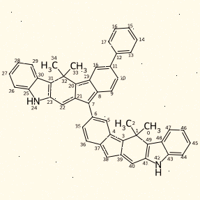 CC1(C)C2=c3cc(C4=c5ccc(-c6ccccc6)cc5=C5C4=Cc4[nH]c6ccccc6c4C5(C)C)ccc3=CC2=Cc2[nH]c3ccccc3c21